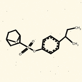 CCC(C)c1ccc(OS(=O)(=O)C2CC3CCC2O3)cc1